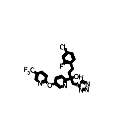 OC(CCc1ccc(Cl)cc1F)(Cn1cnnn1)c1ccc(Oc2ccc(C(F)(F)F)cn2)cn1